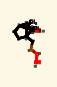 CC1(C)C2CCC1(CSOO)C(=O)C2